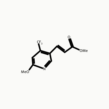 COC(=O)/C=C/c1cnc(OC)cc1C(F)(F)F